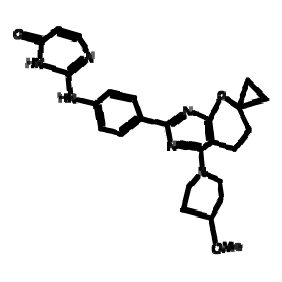 COC1CCN(c2nc(-c3ccc(Nc4nccc(=O)[nH]4)cc3)nc3c2CCC2(CC2)O3)CC1